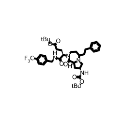 CC(C)(C)OC(=O)CC[C@H](C(=O)NCc1ccc(C(F)(F)F)cc1)N1CCC(CCc2ccccc2)N2C[C@H](NC(=O)OC(C)(C)C)C[C@H]2C1=O